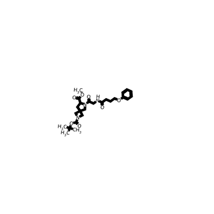 COC(=O)C1CC2(CN(C(=O)OC(C)(C)C)C2)CN1C(=O)CNC(=O)CCCOc1ccccc1